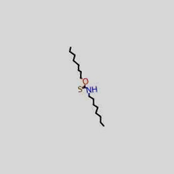 CCCCCCCCNC(=S)OCCCCCCCC